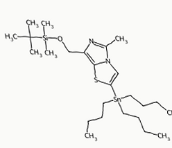 CCC[CH2][Sn]([CH2]CCC)([CH2]CCC)[c]1cn2c(C)nc(CO[Si](C)(C)C(C)(C)C)c2s1